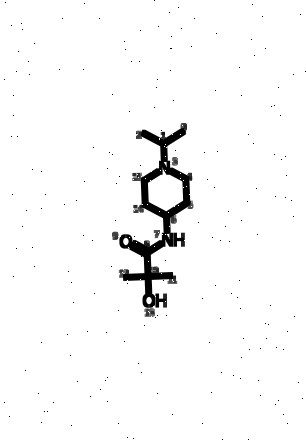 CC(C)N1CCC(NC(=O)C(C)(C)O)CC1